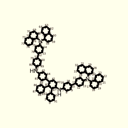 c1ccc(-c2c(Nc3ccc(-c4ccc(N(c5cccc6ccccc56)c5cccc6ccccc56)cc4)cc3)ccc(-c3ccc(Nc4ccc(-c5ccc(N(c6cccc7ccccc67)c6cccc7ccccc67)cc5)cc4)cc3)c2-c2ccccc2)cc1